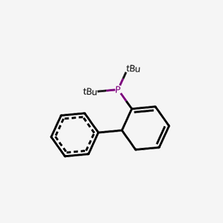 CC(C)(C)P(C1=CC=CCC1c1ccccc1)C(C)(C)C